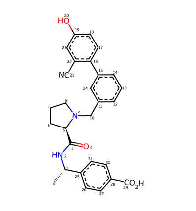 C[C@H](NC(=O)[C@H]1CCCN1Cc1cccc(-c2ccc(O)cc2C#N)c1)c1ccc(C(=O)O)cc1